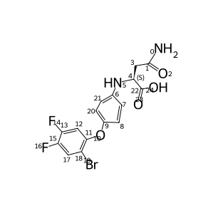 NC(=O)C[C@H](Nc1ccc(Oc2cc(F)c(F)cc2Br)cc1)C(=O)O